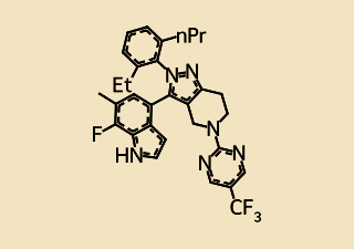 CCCc1cccc(CC)c1-n1nc2c(c1-c1cc(C)c(F)c3[nH]ccc13)CN(c1ncc(C(F)(F)F)cn1)CC2